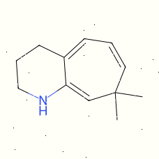 CC1(C)C=CC=C2CCCNC2=C1